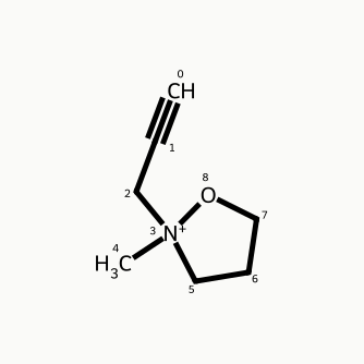 C#CC[N+]1(C)CCCO1